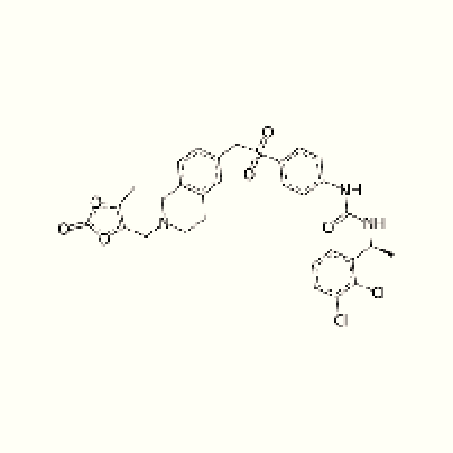 Cc1oc(=O)oc1CN1CCc2cc(CS(=O)(=O)c3ccc(NC(=O)N[C@@H](C)c4cccc(Cl)c4Cl)cc3)ccc2C1